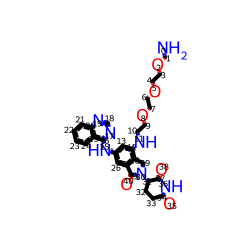 NCOCCOCCOCCNc1cc(Nc2ncnc3ccccc23)cc2c1CN(C1CCC(=O)NC1=O)C2=O